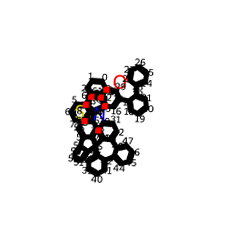 c1ccc(-c2ccccc2N(c2ccc3c(c2)-c2ccccc2-c2ccccc2O3)c2ccc3c(c2)C2(c4ccccc4-c4ccccc4-3)c3ccccc3-c3cc4sc5ccccc5c4cc32)cc1